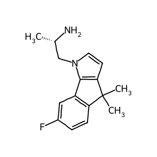 C[C@H](N)Cn1ccc2c1-c1cc(F)ccc1C2(C)C